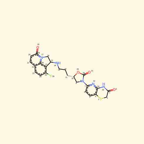 O=C1CSc2ccc(N3C[C@H](CCCNC4Cn5c(=O)ccc6ccc(F)c4c65)OC3=O)nc2N1